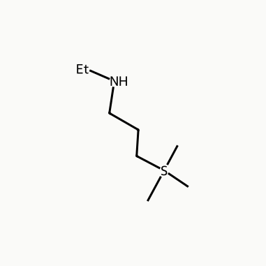 CCNCCCS(C)(C)C